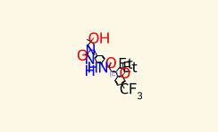 CCC1(CC)C/C(=C\C(=O)Nc2ccc3c(c2)NC(=O)N(CC(C)(C)O)C3)c2ccc(C(F)(F)F)cc2O1